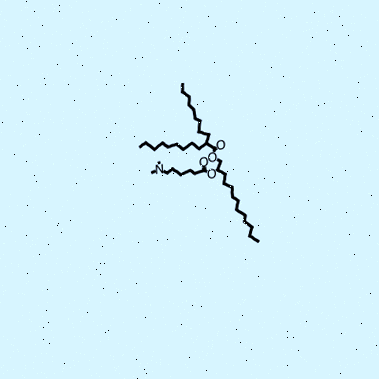 CCCCCCCCCCCC(COC(=O)C(CCCCCCCCC)CCCCCCCCC)OC(=O)CCCCCN(C)C